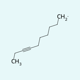 [CH2]CCCCCC#CCC